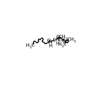 CC/C=C\C/C=C\C/C=C\C/C=C\C/C=C\C/C=C\CCC(=O)NCCSCCNC(=O)C(C)(C)CCCOc1cc(C)ccc1C